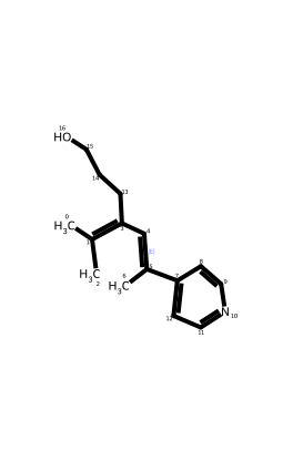 CC(C)=C(/C=C(\C)c1ccncc1)CCCO